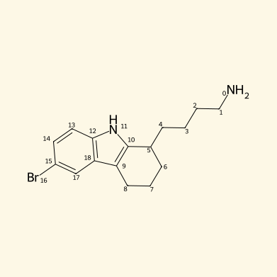 NCCCCC1CCCc2c1[nH]c1ccc(Br)cc21